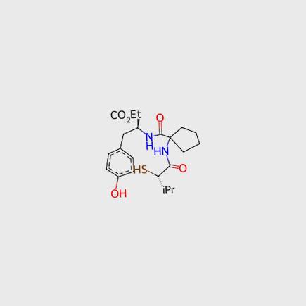 CCOC(=O)[C@H](Cc1ccc(O)cc1)NC(=O)C1(NC(=O)[C@@H](S)C(C)C)CCCC1